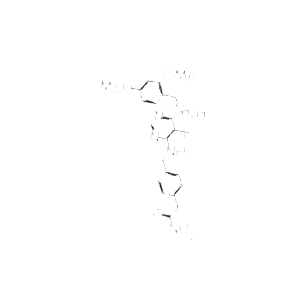 COc1ccc(CN(C)c2ncnc(NCc3ccc(CC(N)=O)cc3)c2F)c(OC)c1